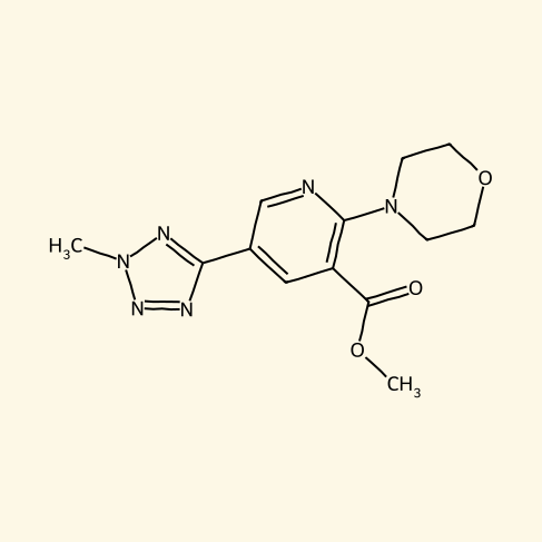 COC(=O)c1cc(-c2nnn(C)n2)cnc1N1CCOCC1